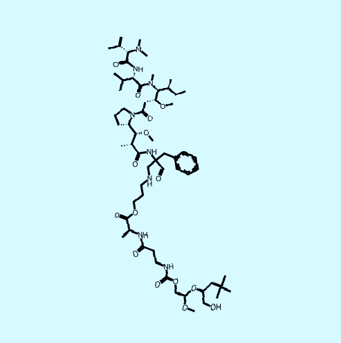 CC[C@H](C)[C@@H]([C@@H](CC(=O)N1CCC[C@H]1[C@H](OC)[C@@H](C)C(=O)NC(C=O)(CNCCCOC(=O)C(C)NC(=O)CCNC(=O)OCC(OC)OC(CO)CC(C)(C)C)Cc1ccccc1)OC)N(C)C(=O)[C@@H](NC(=O)[C@H](C(C)C)N(C)C)C(C)C